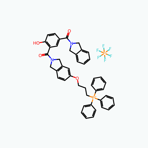 F[P-](F)(F)(F)(F)F.O=C(c1ccc(O)c(C(=O)N2Cc3ccc(OCCC[P+](c4ccccc4)(c4ccccc4)c4ccccc4)cc3C2)c1)N1Cc2ccccc2C1